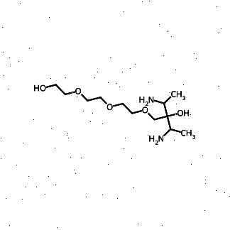 CC(N)C(O)(COCCOCCOCCO)C(C)N